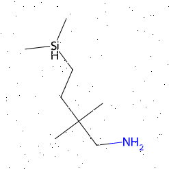 C[SiH](C)CCC(C)(C)CN